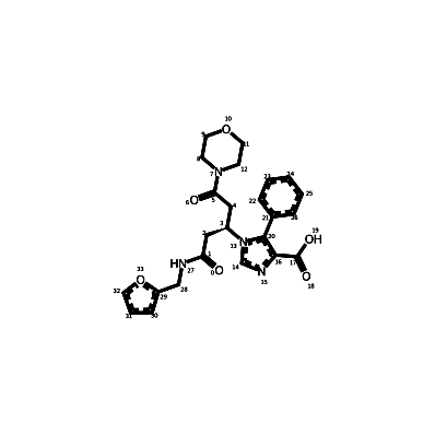 O=C(C[C@@H](CC(=O)N1CCOCC1)n1cnc(C(=O)O)c1-c1ccccc1)NCc1ccco1